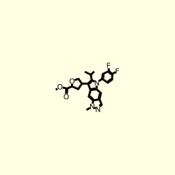 COC(=O)C1CC(c2c(C(C)C)n(-c3ccc(F)c(F)c3)c3cc4cnn(C)c4cc23)CO1